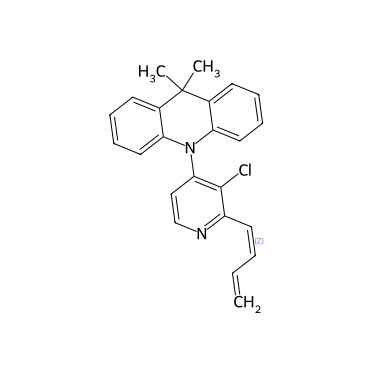 C=C/C=C\c1nccc(N2c3ccccc3C(C)(C)c3ccccc32)c1Cl